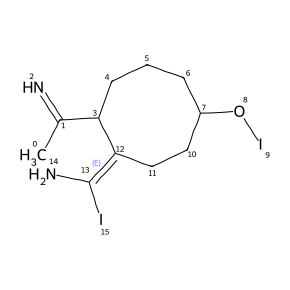 CC(=N)C1CCCC(OI)CC/C1=C(/N)I